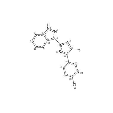 Cc1nc(-c2n[nH]c3ccccc23)sc1-c1ccc(Cl)nc1